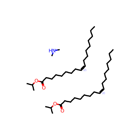 CCCCCCCC/C=C\CCCCCCCC(=O)OC(C)C.CCCCCCCC/C=C\CCCCCCCC(=O)OC(C)C.CNC